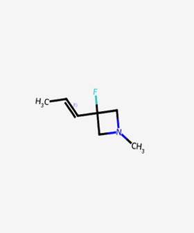 C/C=C/C1(F)CN(C)C1